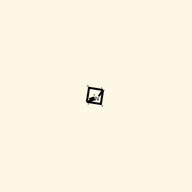 C1[C]2CC1=N2